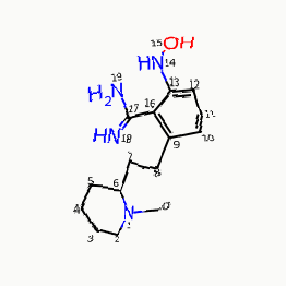 CN1CCCCC1CCc1cccc(NO)c1C(=N)N